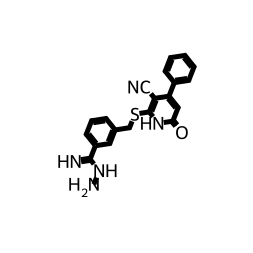 N#Cc1c(-c2ccccc2)cc(=O)[nH]c1SCc1cccc(C(=N)NN)c1